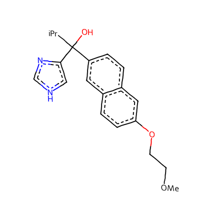 COCCOc1ccc2cc(C(O)(c3c[nH]cn3)C(C)C)ccc2c1